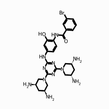 N[C@@H]1C[C@H](N)CN(c2nc(Nc3ccc(NC(=O)c4cccc(Br)c4)c(O)c3)nc(N3C[C@H](N)C[C@H](N)C3)n2)C1